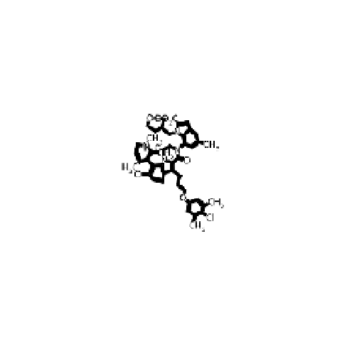 CC1=CCN(C)C(C)=C1c1c(Cl)ccc2c(CCCOc3cc(C)c(Cl)c(C)c3)c3n(c12)[C@H](C)CN(c1cc(C)cc2cc(C(=O)O)n(CC4CCOCC4)c12)C3=O